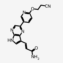 N#CCCOc1ccc(-c2cnc3[nH]cc(/C=C/C(N)=O)c3n2)cn1